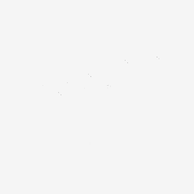 CN1CCN(CC(=O)NC2(c3ccc(Cl)cc3)C(=O)N(C(=O)c3ccccc3)c3cc(Cl)c(Cl)cc32)CC1